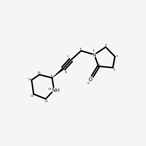 O=C1CCCN1CC#C[C@@H]1CCCCN1